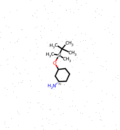 CC(C)(C)[Si](C)(C)OC1CCC[C@H](N)C1